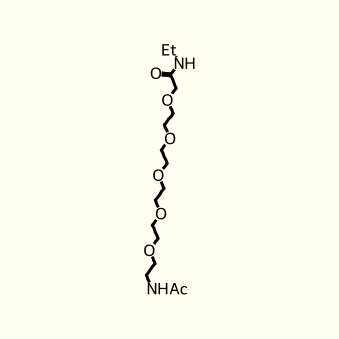 CCNC(=O)COCCOCCOCCOCCOCCNC(C)=O